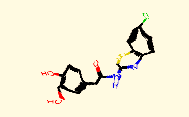 O=C(Cc1ccc(O)c(O)c1)Nc1nc2ccc(Cl)cc2s1